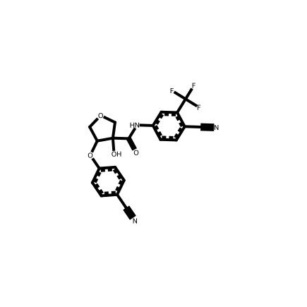 N#Cc1ccc(OC2COCC2(O)C(=O)Nc2ccc(C#N)c(C(F)(F)F)c2)cc1